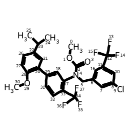 COC(=O)N(Cc1cc(Cl)cc(C(F)(F)F)c1)c1cc(-c2cc(C(C)C)ccc2OC)ccc1C(F)(F)F